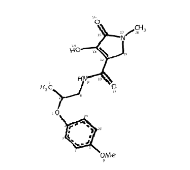 COc1ccc(OC(C)CNC(=O)C2=C(O)C(=O)N(C)C2)cc1